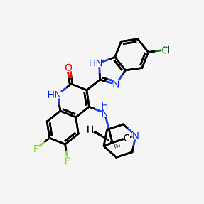 O=c1[nH]c2cc(F)c(F)cc2c(N[C@@H]2CN3CCC2CC3)c1-c1nc2cc(Cl)ccc2[nH]1